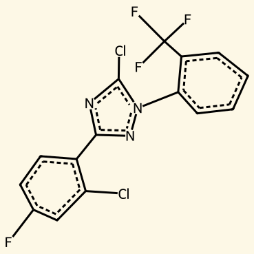 Fc1ccc(-c2nc(Cl)n(-c3ccccc3C(F)(F)F)n2)c(Cl)c1